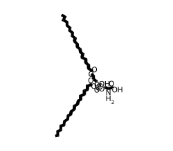 CCCCCCCCCC=CC=CC=CC=CC=CC=CC(=O)OCC(COP(=O)(O)OCC(N)C(=O)O)OC(=O)C=CC=CC=CC=CC=CC=CCCCCCCCCC